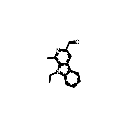 CCn1c2ccccc2c2cc(C=O)nc(C)c21